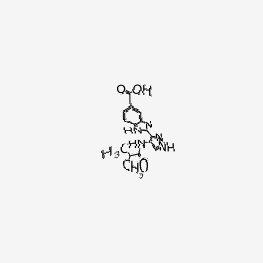 CC(C)C(=O)Nc1c[nH]nc1-c1nc2cc(C(=O)O)ccc2[nH]1